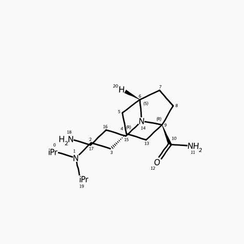 CC(C)N(CC[C@@H]1C[C@@H]2CC[C@](C(N)=O)(C1)N2CCCN)C(C)C